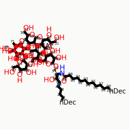 CCCCCCCCCCCCC/C=C/[C@@H](O)[C@H](CO[C@@H]1OC(CO)[C@@H](O[C@@H]2OC(CO)[C@H](O)[C@H](O[C@@H]3OC(CO)[C@@H](O[C@@H]4OC(CO)[C@H](O)[C@H](O[C@H]5OC(CO)[C@H](O)[C@H](O)C5O)C4O[C@H]4OC(C)[C@@H](O)C(O)[C@@H]4O)[C@H](O[C@H]4OC(C)[C@@H](O)C(O)[C@@H]4O)C3NC(C)=O)C2O)[C@H](O)C1O)NC(=O)CCCCCCCCCCCCCCCCCCCCC